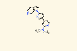 CN(C)c1cc(-c2ccc(-n3ccc4ccncc43)nc2)ccn1